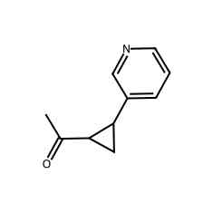 CC(=O)C1CC1c1cccnc1